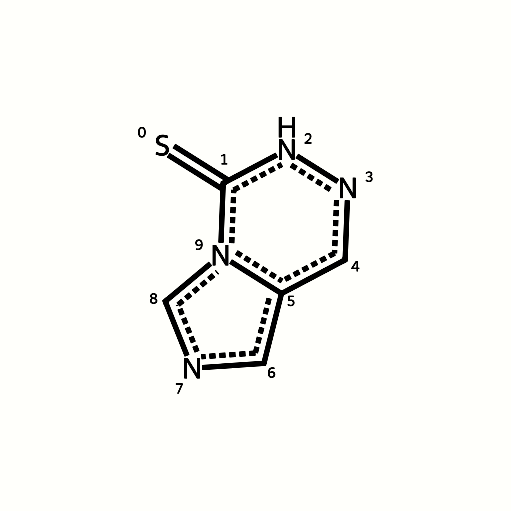 S=c1[nH]ncc2cncn12